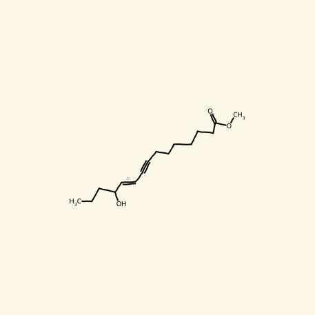 CCCC(O)/C=C/C#CCCCCCCC(=O)OC